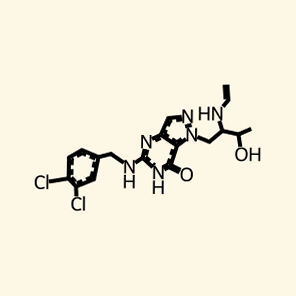 C=CNC(Cn1ncc2nc(NCc3ccc(Cl)c(Cl)c3)[nH]c(=O)c21)C(C)O